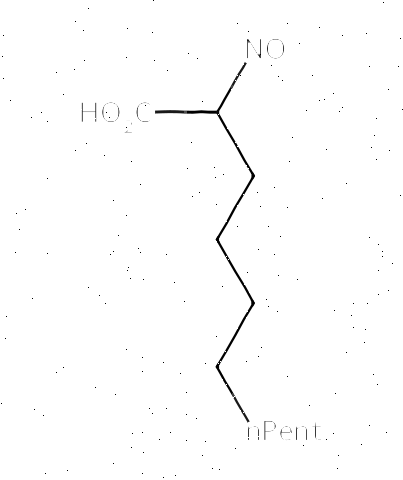 CCCCCCCCCC(N=O)C(=O)O